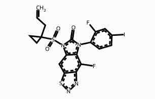 C=CCC1(S(=O)(=O)n2c(=O)n(-c3ccc(I)cc3F)c3c(F)c4nnsc4cc32)CC1